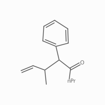 C=CC(C)C(C(=O)CCC)c1ccccc1